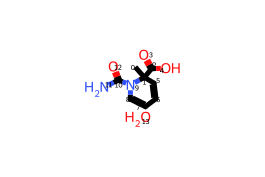 CC1(C(=O)O)C=CC=CN1C(N)=O.O